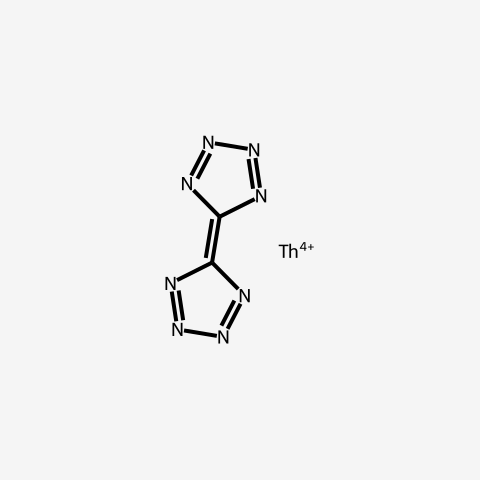 N1=NC(=C2N=NN=N2)N=N1.[Th+4]